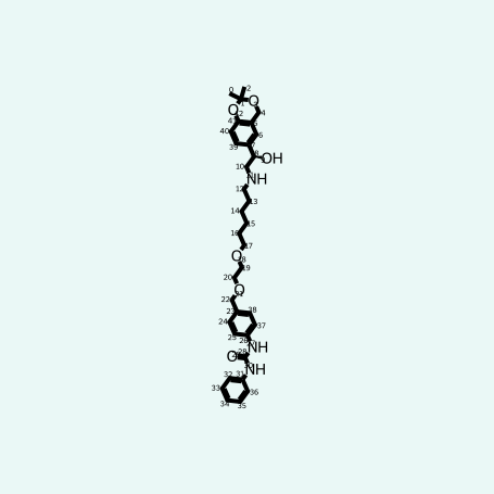 CC1(C)OCc2cc([C@@H](O)CNCCCCCCOCCOCc3ccc(NC(=O)Nc4ccccc4)cc3)ccc2O1